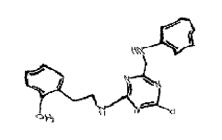 Oc1ccccc1CCNc1nc(Cl)nc(Nc2ccccc2)n1